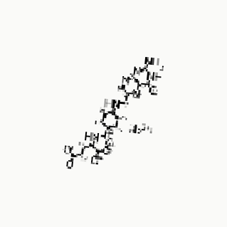 Nc1nc2ncc(CNc3ccc(C(=O)NC(CCC(=O)[O-])C(=O)[O-])cc3)nc2c(=O)[nH]1.[Pb+2]